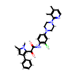 Cc1ccnc(N2CCN(c3ccc(NC(=O)C(=O)c4c(-c5ccccc5)cc(C)n4C)c(Cl)c3)CC2)c1C